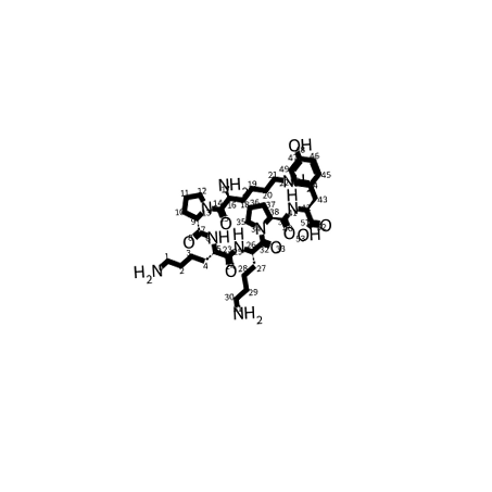 NCCCC[C@H](NC(=O)[C@@H]1CCCN1C(=O)[C@@H](N)CCCCN)C(=O)N[C@@H](CCCCN)C(=O)N1CCC[C@H]1C(=O)N[C@@H](Cc1ccc(O)cc1)C(=O)O